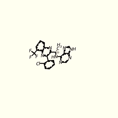 C[C@H](Nc1ncnc2[nH]cnc12)c1nc2cccc(C(F)(F)F)c2nc1-c1ccccc1Cl